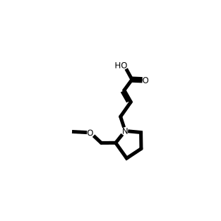 COCC1CCCN1CC=CC(=O)O